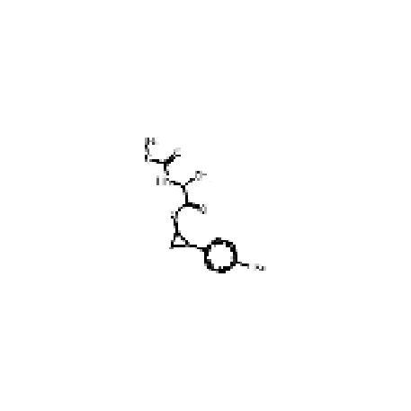 C[C@H](NC(=O)OC(C)(C)C)C(=O)OC1CC1c1ccc(C(C)(C)C)cc1